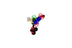 C[C@H]1CN(C(=O)OC(C)(C)C)CCN1c1nc(=O)n2c3c(c(Br)c(Cl)cc13)SC[C@H]2CCCO[Si](c1ccccc1)(c1ccccc1)C(C)(C)C